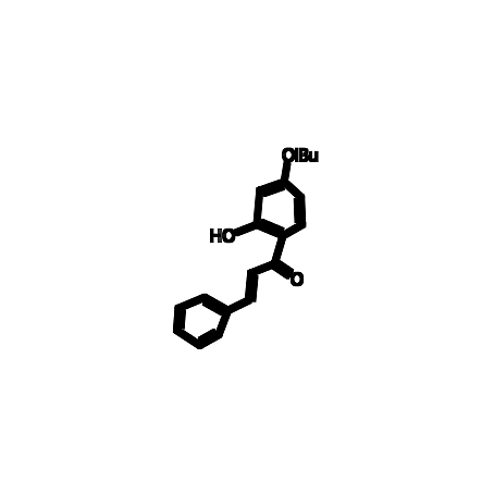 CC(C)COc1ccc(C(=O)/C=C/c2ccccc2)c(O)c1